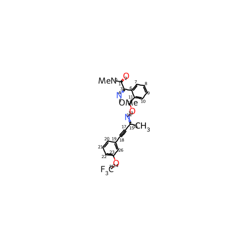 CNC(=O)/C(=N/OC)c1ccccc1CO/N=C(\C)C#Cc1cccc(OC(F)(F)F)c1